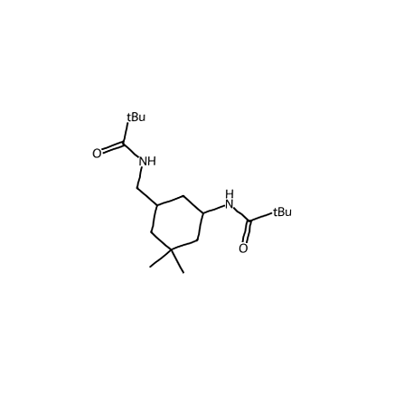 CC1(C)CC(CNC(=O)C(C)(C)C)CC(NC(=O)C(C)(C)C)C1